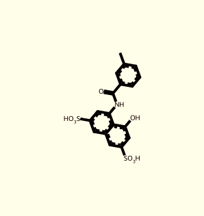 Cc1cccc(C(=O)Nc2cc(S(=O)(=O)O)cc3cc(S(=O)(=O)O)cc(O)c23)c1